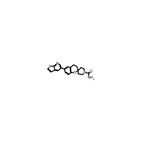 NC(=O)N1CCC2(CCc3cc(-c4cnc5sccc5c4)ccc3O2)CC1